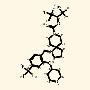 O=C(OC(C(F)(F)F)C(F)(F)F)N1CCC2(CCCN2Cc2ccc(C(F)(F)F)cc2OC2CCOCC2)CC1